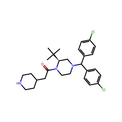 CC(C)(C)[C@H]1CN(C(c2ccc(Cl)cc2)c2ccc(Cl)cc2)CCN1C(=O)CC1CCNCC1